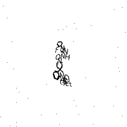 CCS(=O)(=O)N1CC2(CCN(C(=O)Nc3cn(-c4ccccc4F)cn3)CC2)c2ccccc21